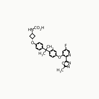 Cc1nnc(-c2ncc(F)cc2Oc2ccc(C(C)(C)c3ccc(O[C@H]4C[C@H](NC(=O)O)C4)cc3)cc2)o1